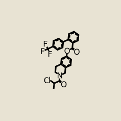 CC(Cl)C(=O)N1CCc2cc(OC(=O)c3ccccc3-c3ccc(C(F)(F)F)cc3)ccc2C1